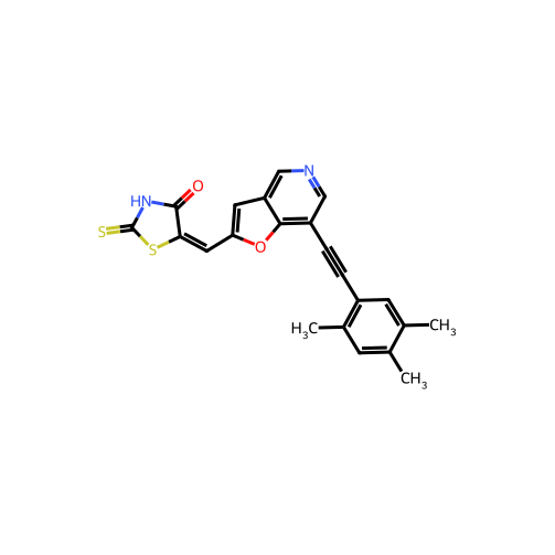 Cc1cc(C)c(C#Cc2cncc3cc(/C=C4/SC(=S)NC4=O)oc23)cc1C